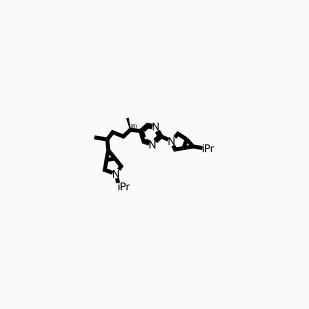 CC(C)C1C2CN(c3ncc([C@H](C)CCC(C)C4C5CN(C(C)C)CC54)cn3)CC21